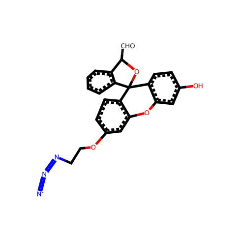 [N-]=[N+]=NCCOc1ccc2c(c1)Oc1cc(O)ccc1C21OC(C=O)c2ccccc21